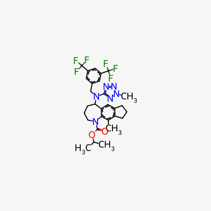 Cc1c2c(cc3c1N(C(=O)OC(C)C)CCCC3N(Cc1cc(C(F)(F)F)cc(C(F)(F)F)c1)c1nnn(C)n1)CCC2